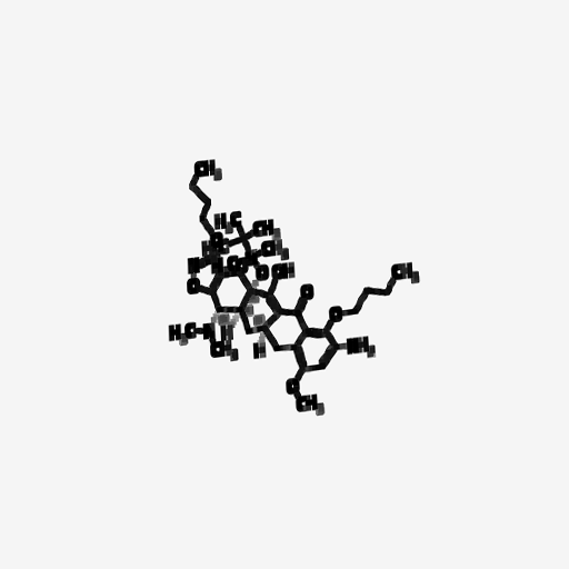 CCCCOc1noc2c1C(=O)[C@@]1(O[Si](C)(C)C(C)(C)C)C(O)=C3C(=O)c4c(c(OC)cc(N)c4OCCCC)C[C@H]3C[C@H]1[C@@H]2N(C)C